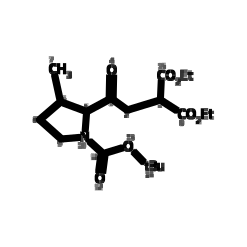 CCOC(=O)C(CC(=O)C1C(C)CCN1C(=O)OC(C)(C)C)C(=O)OCC